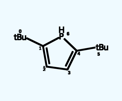 CC(C)(C)c1[c]cc(C(C)(C)C)[pH]1